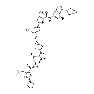 CCc1oc(N2CC(CC)(CCC3C4CC(N5CCc6cc(NC(=O)c7nc(N8CCCC8)oc7CC(F)(F)F)cc(F)c65)CC34)C2)nc1C(=O)Nc1cc(F)c2c(c1)CCN2C1CC2CC2C1